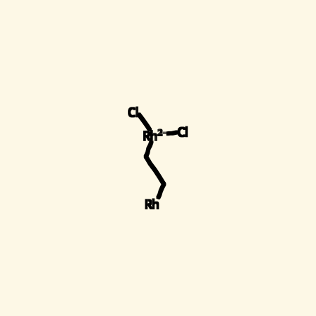 [Cl][Rh-2]([Cl])[CH2][CH2][Rh]